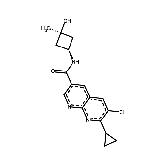 C[C@]1(O)C[C@@H](NC(=O)c2cnc3nc(C4CC4)c(Cl)cc3c2)C1